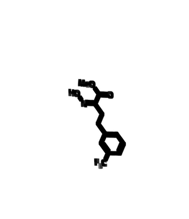 COC(=O)C(CCc1cccc(C(F)(F)F)c1)=NO